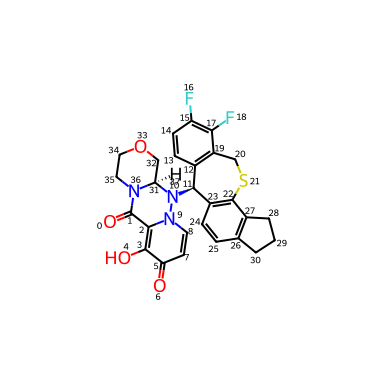 O=C1c2c(O)c(=O)ccn2N([C@H]2c3ccc(F)c(F)c3CSc3c2ccc2c3CCC2)[C@@H]2COCCN12